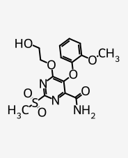 COc1ccccc1Oc1c(OCCO)nc(S(C)(=O)=O)nc1C(N)=O